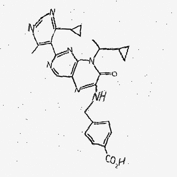 Cc1ncnc(C2CC2)c1-c1ncc2nc(NCc3ccc(C(=O)O)cc3)c(=O)n(C(C)C3CC3)c2n1